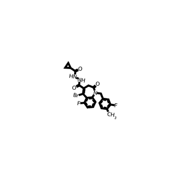 Cc1ccc(CN2C(=O)CC(C(=O)NNC(=O)C3CC3)=C(Br)c3c(F)cccc32)cc1F